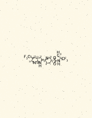 C[C@H](NS(=O)(=O)c1ccc(-c2cc3cc(C(F)(F)F)cnc3[nH]2)nc1)C(F)(F)F